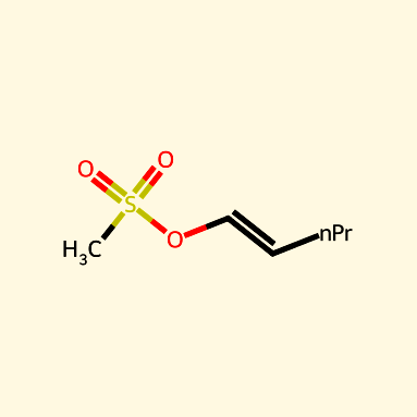 CCCC=COS(C)(=O)=O